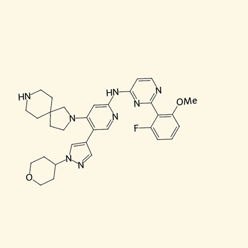 COc1cccc(F)c1-c1nccc(Nc2cc(N3CCC4(CCNCC4)C3)c(-c3cnn(C4CCOCC4)c3)cn2)n1